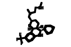 CNCCN(C)C[C@H]1CC[C@@H]2[C@H](O1)c1cc(C(F)(F)F)ccc1N[C@H]2c1ccccc1